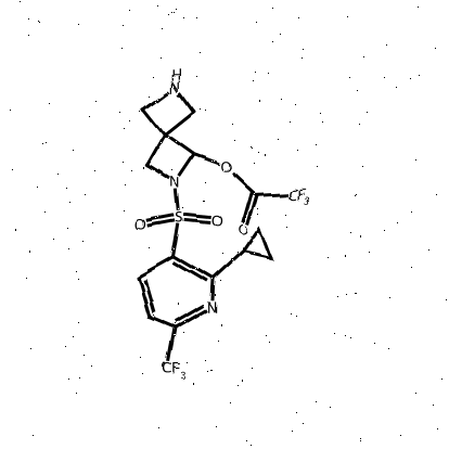 O=C(OC1N(S(=O)(=O)c2ccc(C(F)(F)F)nc2C2CC2)CC12CNC2)C(F)(F)F